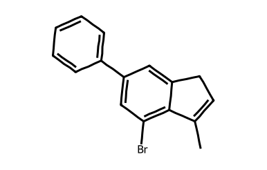 CC1=CCc2cc(-c3ccccc3)cc(Br)c21